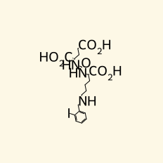 O=C(O)CC[C@H](NC(=O)NC(CCCCNCc1ccccc1I)C(=O)O)C(=O)O